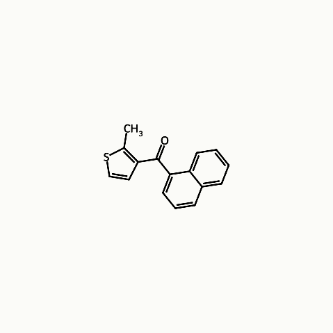 Cc1sccc1C(=O)c1cccc2ccccc12